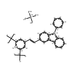 CC(C)(C)c1cc(/C=C/c2ccc3c(c2)c2ccccc2n3-c2ccccc2)cc(C(C)(C)C)[o+]1.F[B-](F)(F)F